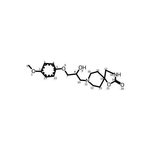 COc1ccc(OCC(O)CN2CCC3(CC2)CNC(=O)O3)cc1